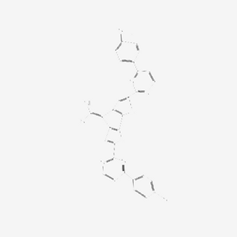 NC(N)=C1c2cc(-c3nccc(-c4ccc(N)cc4)n3)sc2-c2sc(-c3nccc(-c4ccc(N)cc4)n3)cc21